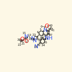 CC(=O)N1c2ccc(-c3cnn(CCN(C)C(=O)OC(C)(C)C)c3)cc2C(Nc2ccc(C#N)cc2)[C@@H](C)[C@@H]1C1CC1